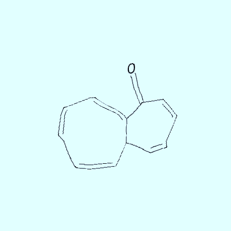 O=C1C=CC=CC2C=CC=CC=C12